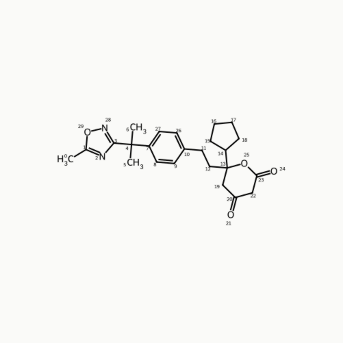 Cc1nc(C(C)(C)c2ccc(CCC3(C4CCCC4)CC(=O)CC(=O)O3)cc2)no1